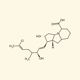 C/C(Cl)=C/CC(C)[C@H](O)/C=C/[C@H]1[C@H](O)CC2[C@@H]1CC1CCCC(C(=O)O)N12